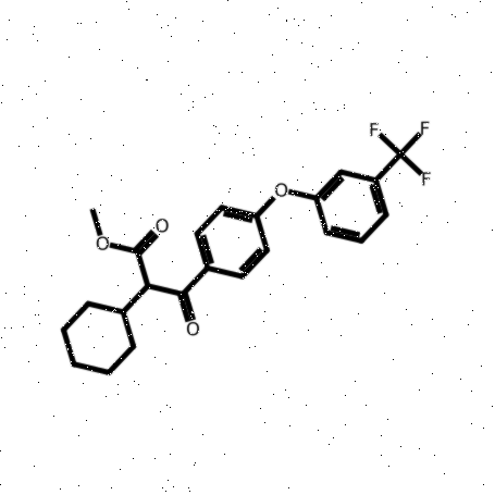 COC(=O)C(C(=O)c1ccc(Oc2cccc(C(F)(F)F)c2)cc1)C1CCCCC1